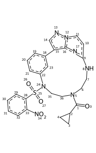 O=C(C1CC1)N1CCNc2ccn3ncc(c3n2)-c2cccc(c2)N(S(=O)(=O)c2ccccc2[N+](=O)[O-])CC1